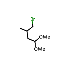 COC(CC(C)CBr)OC